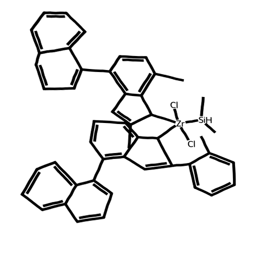 CC1=Cc2c(-c3cccc4ccccc34)ccc(C)c2[CH]1[Zr]([Cl])([Cl])([CH]1C(c2ccccc2C)=Cc2c(-c3cccc4ccccc34)cccc21)[SiH](C)C